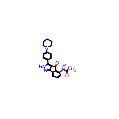 CC(=O)Nc1cccc2c1C(=O)c1c-2n[nH]c1-c1ccc(N2CCCCC2)cc1